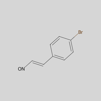 O=N/C=C/c1ccc(Br)cc1